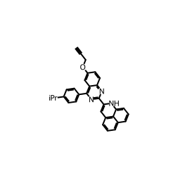 C#CCOc1ccc2nc(C3=Cc4cccc5cccc(c45)N3)nc(-c3ccc(C(C)C)cc3)c2c1